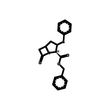 O=C(OCc1ccccc1)[C@H]1C(Sc2ccccc2)CC2CC(=O)N21